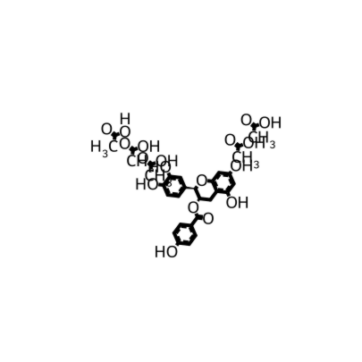 CC(=O)O.CC(=O)O.CC(=O)O.CC(=O)O.CC(=O)O.O=C(O[C@@H]1Cc2c(O)cc(O)cc2O[C@@H]1c1ccc(O)c(O)c1)c1ccc(O)cc1